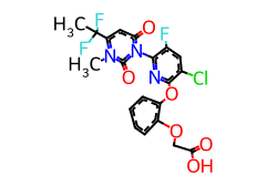 Cn1c(C(C)(F)F)cc(=O)n(-c2nc(Oc3ccccc3OCC(=O)O)c(Cl)cc2F)c1=O